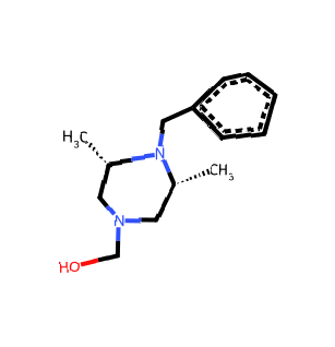 C[C@@H]1CN(CO)C[C@H](C)N1Cc1ccccc1